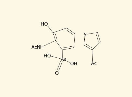 CC(=O)Nc1c(O)cccc1[As](=O)(O)O.CC(=O)c1ccsc1